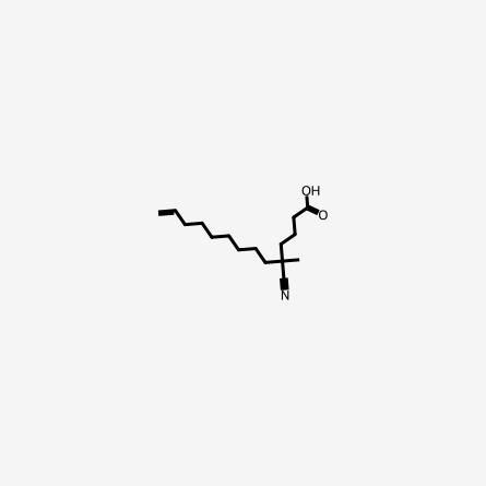 C=CCCCCCCCC(C)(C#N)CCCC(=O)O